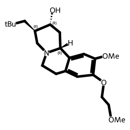 COCCOc1cc2c(cc1OC)[C@H]1C[C@@H](O)[C@H](CC(C)(C)C)CN1CC2